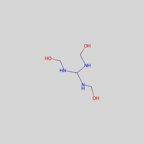 OCN[C](NCO)NCO